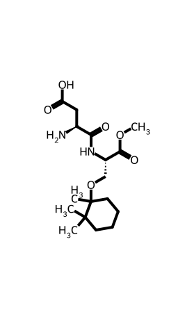 COC(=O)[C@H](COC1(C)CCCCC1(C)C)NC(=O)[C@@H](N)CC(=O)O